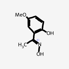 COc1ccc(O)c(/C(C)=N/O)c1